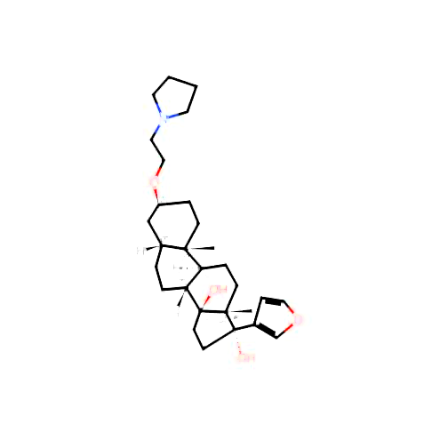 C[C@]12CC[C@H](OCCN3CCCC3)C[C@H]1CC[C@@H]1[C@@H]2CC[C@]2(C)[C@@](O)(c3ccoc3)CC[C@]12O